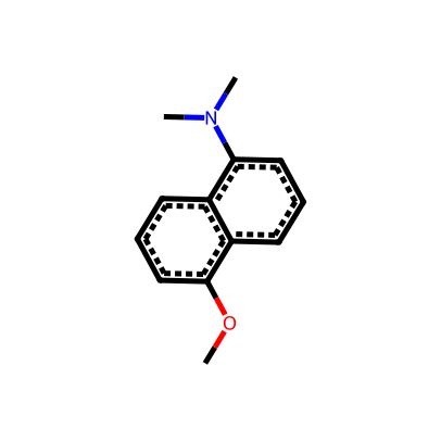 COc1cccc2c(N(C)C)cccc12